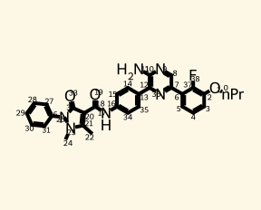 CCCOc1cccc(-c2cnc(N)c(-c3ccc(NC(=O)c4c(C)n(C)n(-c5ccccc5)c4=O)cc3)n2)c1F